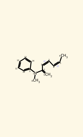 C=C(/C=C\C=C/C)N(C)c1ccccc1